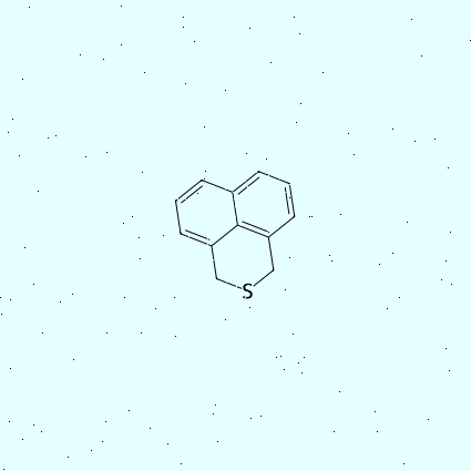 c1cc2c3c(cccc3c1)CSC2